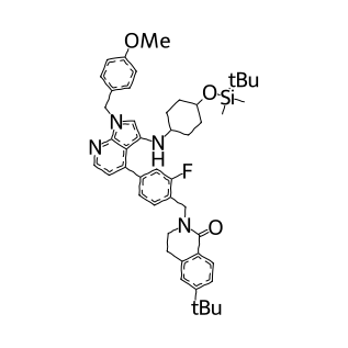 COc1ccc(Cn2cc(NC3CCC(O[Si](C)(C)C(C)(C)C)CC3)c3c(-c4ccc(CN5CCc6cc(C(C)(C)C)ccc6C5=O)c(F)c4)ccnc32)cc1